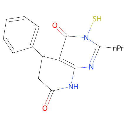 CCCc1nc2c(c(=O)n1S)C(c1ccccc1)CC(=O)N2